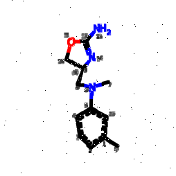 Cc1cccc(N(C)C[C@H]2COC(N)=N2)c1